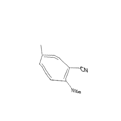 CNc1ccc(C)cc1C#N